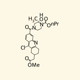 CCCOC(=O)N1CCN(C(=O)c2ccc3c(Cl)c4c(nc3c2)CCC(CC(=O)OC)C4)C[C@@]1(C)O